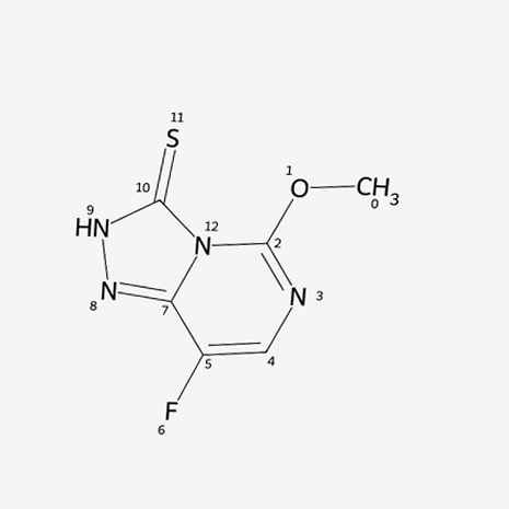 COc1ncc(F)c2n[nH]c(=S)n12